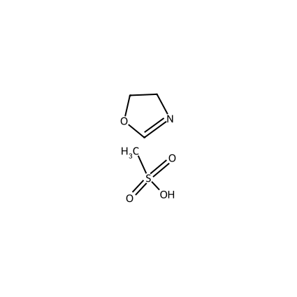 C1=NCCO1.CS(=O)(=O)O